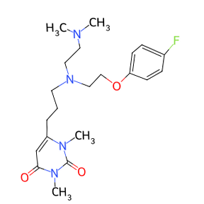 CN(C)CCN(CCCc1cc(=O)n(C)c(=O)n1C)CCOc1ccc(F)cc1